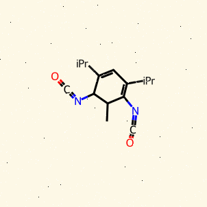 CC(C)C1=CC(C(C)C)=C(N=C=O)C(C)C1N=C=O